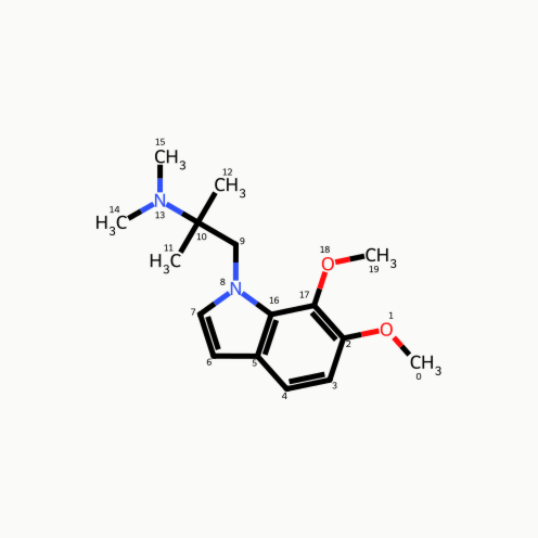 COc1ccc2ccn(CC(C)(C)N(C)C)c2c1OC